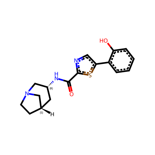 O=C(N[C@@H]1C[C@@H]2CCN(C2)C1)c1ncc(-c2ccccc2O)s1